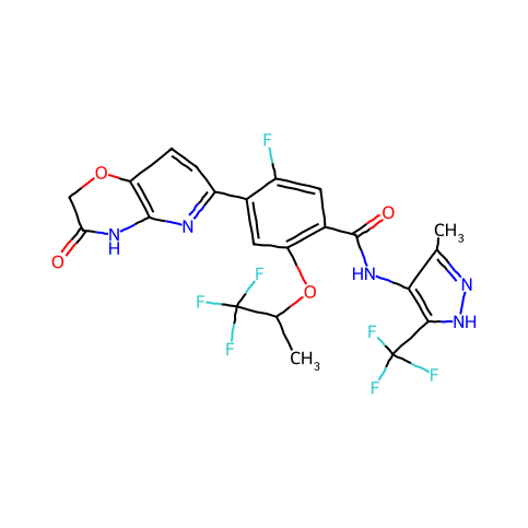 Cc1n[nH]c(C(F)(F)F)c1NC(=O)c1cc(F)c(-c2ccc3c(n2)NC(=O)CO3)cc1OC(C)C(F)(F)F